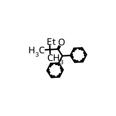 CCC(C)(C)C(=O)C(c1ccccc1)c1ccccc1